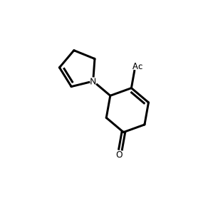 CC(=O)C1=CCC(=O)CC1N1C=CCC1